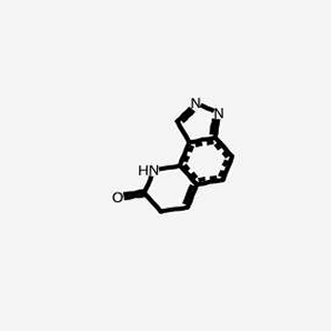 O=C1CC=c2ccc3c(c2N1)C=NN=3